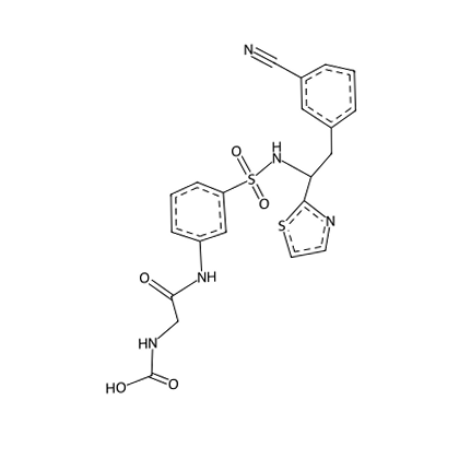 N#Cc1cccc(CC(NS(=O)(=O)c2cccc(NC(=O)CNC(=O)O)c2)c2nccs2)c1